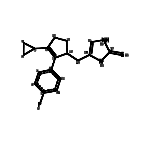 Fc1ccc(C2=C(C3CC3)CCC2CC2=CNC(=S)[N]2)cc1